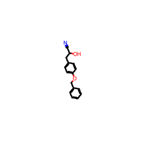 N#CC(O)Cc1ccc(OCc2ccccc2)cc1